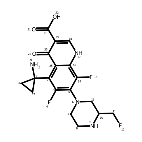 NC1(c2c(F)c(N3CCNC(CF)C3)c(F)c3[nH]cc(C(=O)O)c(=O)c23)CC1